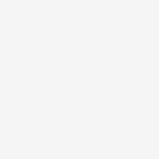 NCCCc1csc2ccc(Cl)cc12